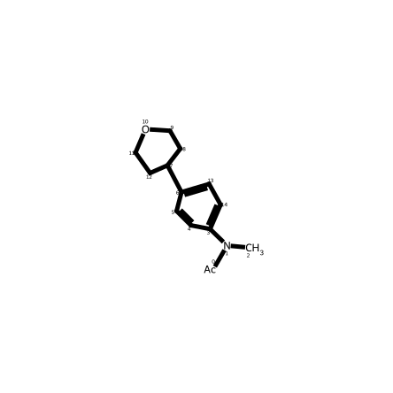 CC(=O)N(C)c1ccc(C2CCOCC2)cc1